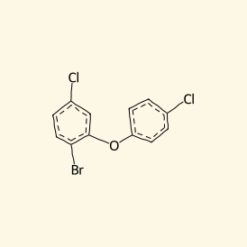 Clc1ccc(Oc2cc(Cl)ccc2Br)cc1